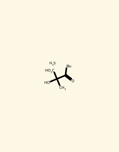 CCC(C)C(=O)C(C)(O)C(=O)O.S